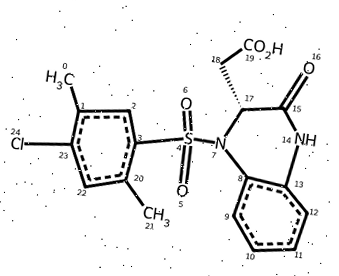 Cc1cc(S(=O)(=O)N2c3ccccc3NC(=O)[C@H]2CC(=O)O)c(C)cc1Cl